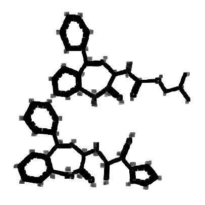 CC(C)COC(=O)NC1N=C(c2ccccc2)c2ccccc2NC1=O.O=C(NC1N=C(c2ccccc2)c2ccccc2NC1=O)C(=O)c1cccs1